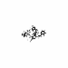 C[C@H](CCCCCc1ccccc1)[C@H](O)CC[C@H]1CC(F)(F)C(=O)N1CCCc1ccc(OC(=O)O)s1